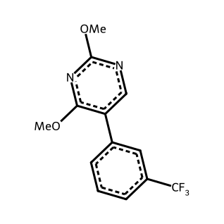 COc1ncc(-c2cccc(C(F)(F)F)c2)c(OC)n1